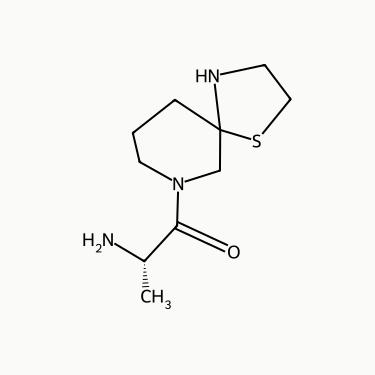 C[C@H](N)C(=O)N1CCCC2(C1)NCCS2